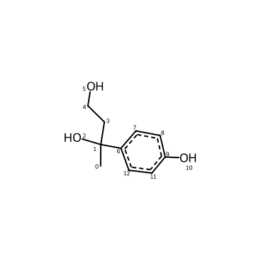 CC(O)(CCO)c1ccc(O)cc1